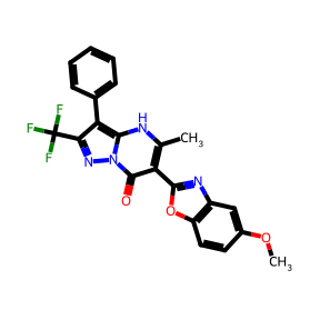 COc1ccc2oc(-c3c(C)[nH]c4c(-c5ccccc5)c(C(F)(F)F)nn4c3=O)nc2c1